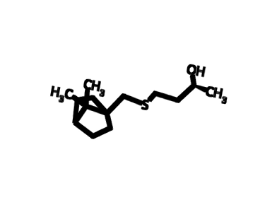 C[C@H](O)CCSCC12CCC(CC1)C2(C)C